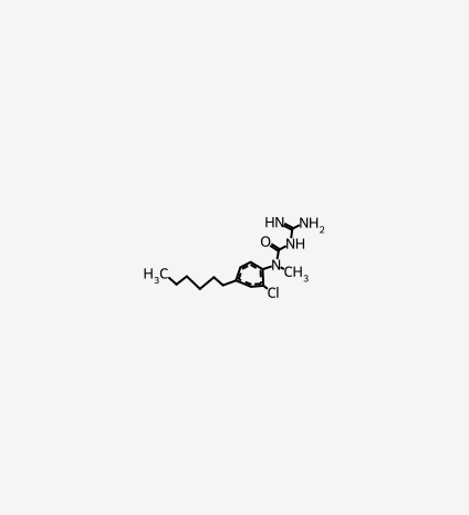 CCCCCCc1ccc(N(C)C(=O)NC(=N)N)c(Cl)c1